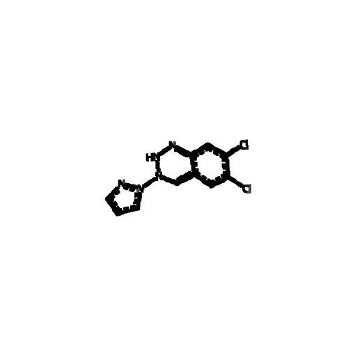 Clc1cc2c(cc1Cl)=NNN(n1cccn1)C=2